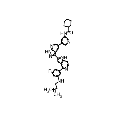 CN(C)CCNc1cc(F)cc(-c2nccc3[nH]c(-c4n[nH]c5ncc(-c6cncc(NC(=O)C7CCCCC7)c6)cc45)cc23)c1